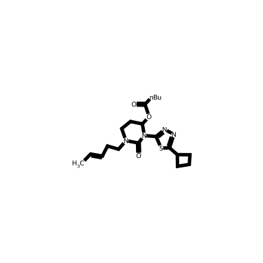 CC=CCCN1CCC(OC(=O)CCCC)N(c2nnc(C3CCC3)s2)C1=O